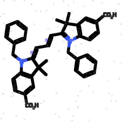 CC1(C)C(/C=C/C=C2/N(Cc3ccccc3)c3ccc(C(=O)O)cc3C2(C)C)=[N+](Cc2ccccc2)c2ccc(C(=O)O)cc21